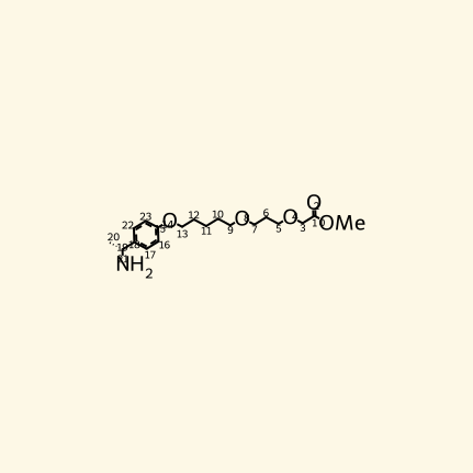 COC(=O)COCCCOCCCCCOc1ccc([C@@H](C)N)cc1